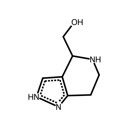 OCC1NCCc2n[nH]cc21